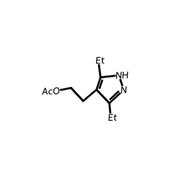 CCc1n[nH]c(CC)c1CCOC(C)=O